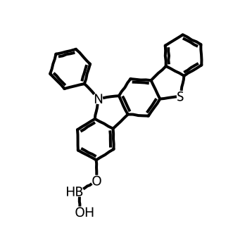 OBOc1ccc2c(c1)c1cc3sc4ccccc4c3cc1n2-c1ccccc1